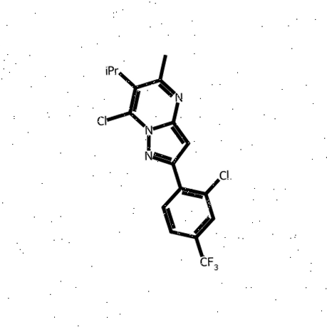 Cc1nc2cc(-c3ccc(C(F)(F)F)cc3Cl)nn2c(Cl)c1C(C)C